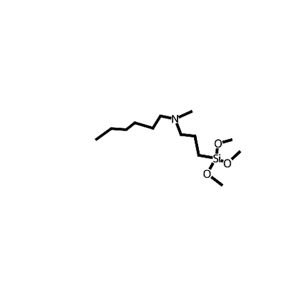 CCCCCCN(C)CCC[Si](OC)(OC)OC